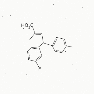 CC(=CC(c1ccc(C)cc1)c1cccc(F)c1)C(=O)O